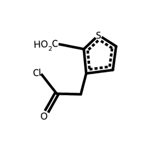 O=C(Cl)Cc1ccsc1C(=O)O